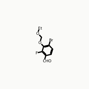 CCOCOc1c(Br)ccc(C=O)c1F